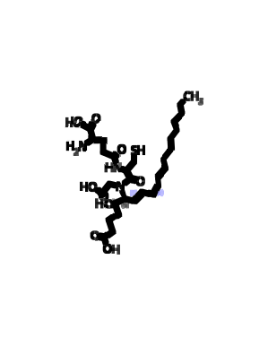 CCCCCC=CCC=C/C=C\C=C\[C@@H]([C@@H](O)CCCC(=O)O)N(CC(=O)O)C(=O)C(CS)NC(=O)CCC(N)C(=O)O